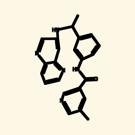 Cc1cncc(C(=O)Nc2cccc(C(C)Nc3cnc4cccnc4c3)c2)c1